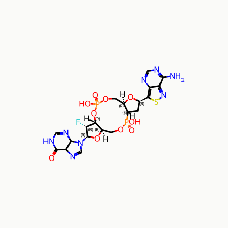 Nc1ncnc2c([C@H]3C[C@H]4[C@@H](COP(=O)(O)O[C@H]5[C@@H](F)[C@H](N6C=NC7C(=O)NC=NC76)O[C@@H]5COP4(=O)O)O3)snc12